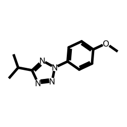 COc1ccc(-n2nnc(C(C)C)n2)cc1